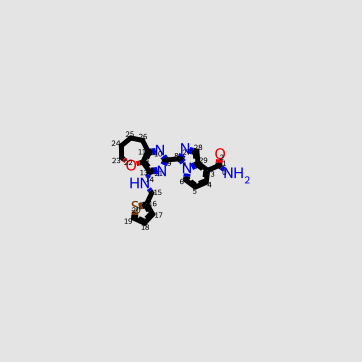 NC(=O)c1cccn2c(-c3nc4c(c(NCc5cccs5)n3)OCCCC4)ncc12